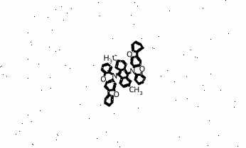 Cc1ccc2c(N3c4ccccc4Oc4cc5c(cc43)oc3ccccc35)c3cc(C)ccc3c(N3c4ccccc4Oc4cc5c(cc43)oc3ccccc35)c2c1